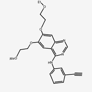 C#Cc1cccc(Nc2ncnc3cc(OCCOCC)c(OCCOC)cc23)c1